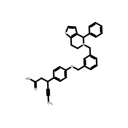 CC#CC(CC(=O)O)c1ccc(OCc2cccc(CN3CCc4sccc4C3c3ccccc3)c2)cc1